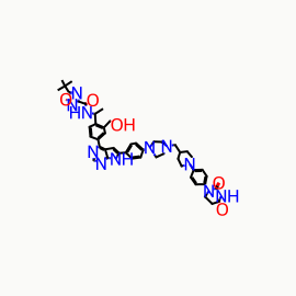 CC(NC(=O)c1noc(C(C)(C)C)n1)c1ccc(-c2ncnc3[nH]c(-c4ccc(N5CCN(CC6CCN(c7ccc(N8CCC(=O)NC8=O)cc7)CC6)CC5)cc4)cc23)cc1CO